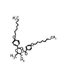 CCCCCCCCOc1ccc(C(=O)OC(C)C(C)OC(=O)c2ccc(OCCCCCCCC)cc2)cc1